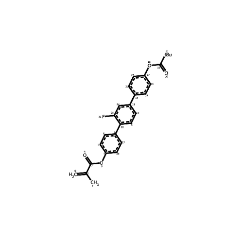 C=C(C)C(=O)Oc1ccc(-c2ccc(-c3ccc(OC(=O)C(C)(C)C)cc3)cc2F)cc1